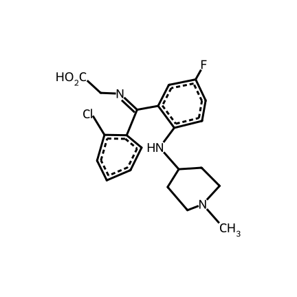 CN1CCC(Nc2ccc(F)cc2/C(=N/CC(=O)O)c2ccccc2Cl)CC1